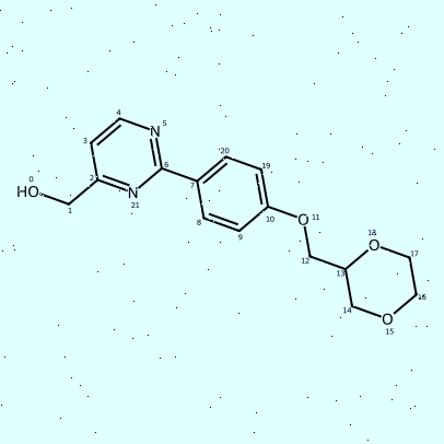 OCc1ccnc(-c2ccc(OCC3COCCO3)cc2)n1